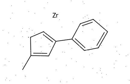 CC1=CC(c2ccccc2)=C[CH]1.[Zr]